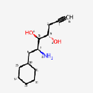 C#CC[C@H](O)C(O)[C@@H](N)CC1CCCCC1